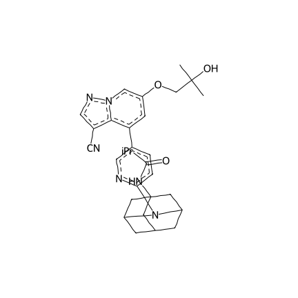 CC(C)C(=O)NC12CC3CC(C1)N(c1ccc(-c4cc(OCC(C)(C)O)cn5ncc(C#N)c45)cn1)C(C3)C2